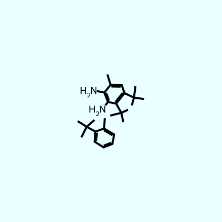 Cc1cc(C(C)(C)C)c(C(C)(C)C)c(N)c1N.Cc1ccccc1C(C)(C)C